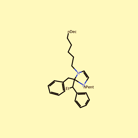 CCCCCCCCCCCCCCCN1C=CN(CCCCC)C1(Cc1ccccc1)C(CC)c1ccccc1